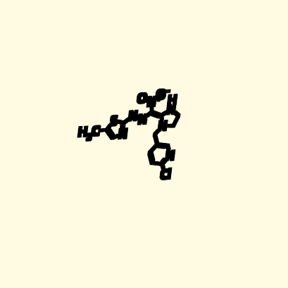 Cc1cnc(/N=N/C(=C2/NCCN2Cc2ccc(Cl)nc2)[N+](=O)[O-])s1